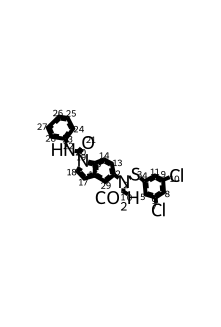 O=C(O)CN(Sc1cc(Cl)cc(Cl)c1)c1ccc2c(ccn2C(=O)Nc2ccccc2)c1